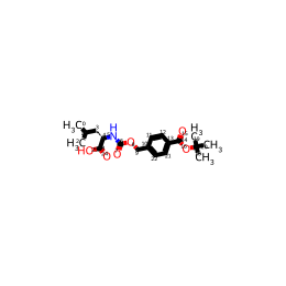 CC(C)C[C@H](NC(=O)OCc1ccc(C(=O)OC(C)(C)C)cc1)C(=O)O